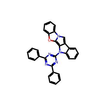 c1ccc(-c2nc(-c3ccccc3)nc(-n3c4ccccc4c4cn5c6ccccc6oc5c43)n2)cc1